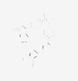 Cc1cc(/C=C/C(=O)N2CCC(C(NN3CCC(c4c[nH]c5ccccc45)CC3)C(=O)O)CC2)cc(F)c1F